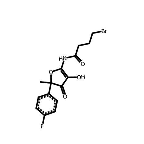 CC1(c2ccc(F)cc2)OC(NC(=O)CCCBr)=C(O)C1=O